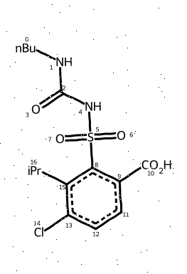 CCCCNC(=O)NS(=O)(=O)c1c(C(=O)O)ccc(Cl)c1C(C)C